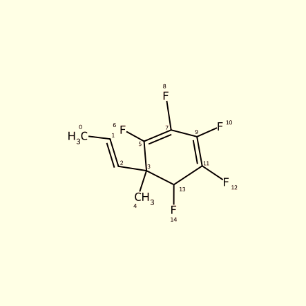 CC=CC1(C)C(F)=C(F)C(F)=C(F)C1F